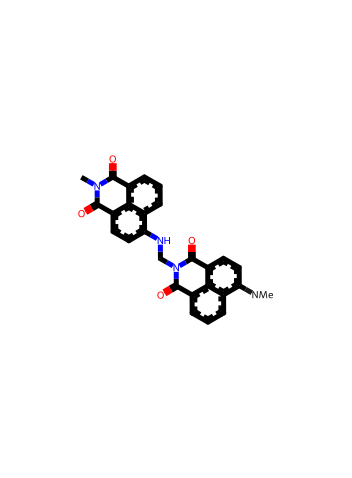 CNc1ccc2c3c(cccc13)C(=O)N(CNc1ccc3c4c(cccc14)C(=O)N(C)C3=O)C2=O